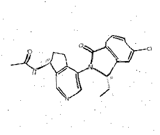 CC[C@H]1c2cc(Cl)ccc2C(=O)N1c1cncc2c1CC[C@@H]2NC(C)=O